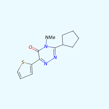 CNn1c(C2CCCC2)nnc(-c2cccs2)c1=O